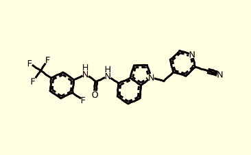 N#Cc1cc(Cn2ccc3c(NC(=O)Nc4cc(C(F)(F)F)ccc4F)cccc32)ccn1